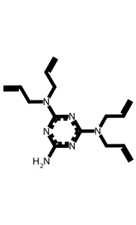 C=CCN(CC=C)c1nc(N)nc(N(CC=C)CC=C)n1